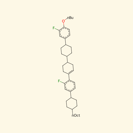 CCCCCCCCC1CCC(c2ccc(C3=CCC(C4CCC(c5ccc(OCCCC)c(F)c5)CC4)CC3)c(F)c2)CC1